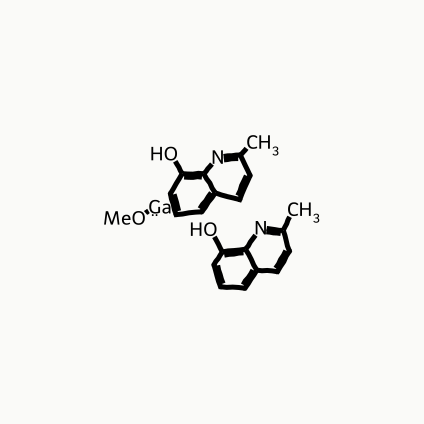 C[O][Ga].Cc1ccc2cccc(O)c2n1.Cc1ccc2cccc(O)c2n1